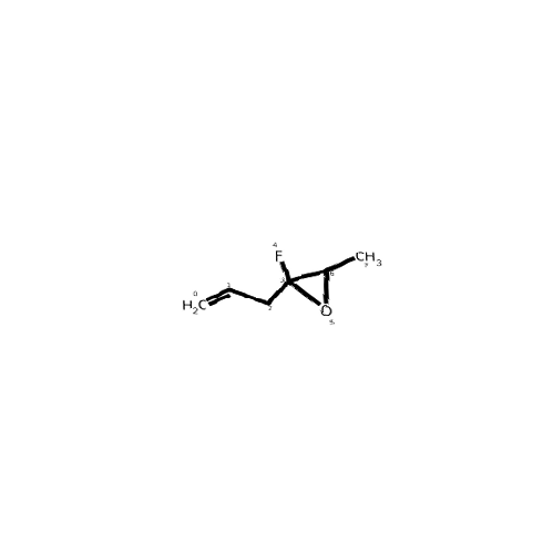 C=CCC1(F)OC1C